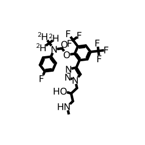 [2H]C([2H])([2H])N(C(=O)Oc1c(-c2cn(CC(O)CNC)nn2)cc(C(F)(F)F)cc1C(F)(F)F)c1ccc(F)cc1